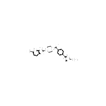 CC(C)(C)c1nc(-c2ccc(C(=O)N3CCN(c4nc5nc(Cl)ccc5o4)CC3)cc2)no1